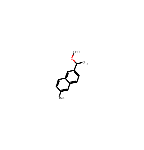 COc1ccc2cc(C(C)OC=O)ccc2c1